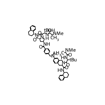 CN[C@@H](C)C(=O)NC(C(=O)N1Cc2cc(N(Cc3ccc(C(=O)NC4C[C@@H](C(=O)N[C@@H]5CCCc6ccccc65)N(C(=O)[C@@H](NC(O)[C@H](C)NC)C(C)(C)C)C4)cc3)C(C)=O)ccc2CC1C(=O)NC1CCCc2ccccc21)C(C)(C)C